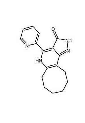 O=c1[nH]nc2c3c([nH]c(-c4ccccn4)c1-2)CCCCCC3